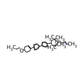 C/C=C/CCN1C(C)(C)CC(c2ccc(-c3ccc(C4=CCC(OCCC)CC4)cc3)cc2)CC1(C)C